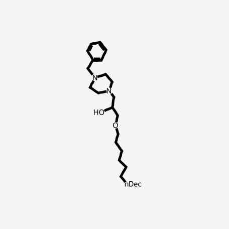 CCCCCCCCCCCCCCCCOCC(O)CN1CCN(Cc2ccccc2)CC1